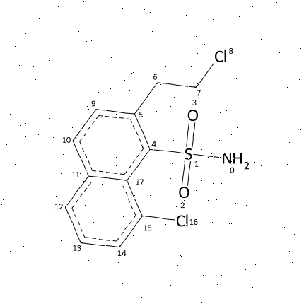 NS(=O)(=O)c1c(CCCl)ccc2cccc(Cl)c12